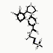 C[C@H](/C=C/S(C)(=O)=O)NC(=O)c1cnc(N2CCOCC2c2cccc(F)c2Cl)cn1